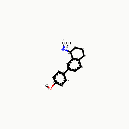 CCOc1ccc(-c2ccc3c(c2)C(NC(=O)O)CCC3)cc1